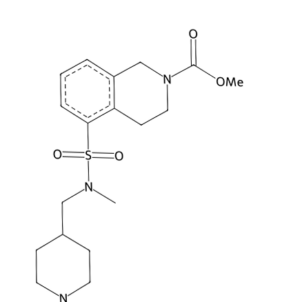 COC(=O)N1CCc2c(cccc2S(=O)(=O)N(C)CC2CCNCC2)C1